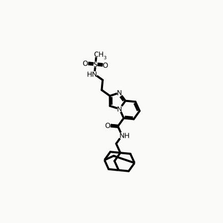 CS(=O)(=O)NCCc1cn2c(C(=O)NCC34CC5CC(CC(C5)C3)C4)cccc2n1